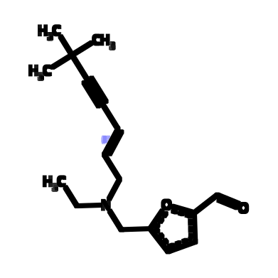 CCN(C/C=C/C#CC(C)(C)C)Cc1ccc(C=O)o1